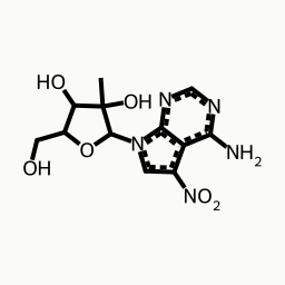 CC1(O)C(O)C(CO)OC1n1cc([N+](=O)[O-])c2c(N)ncnc21